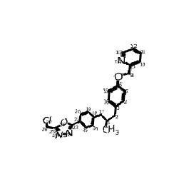 CC(Cc1ccc(OCc2ccccn2)cc1)Cc1ccc(-c2nnc(CCl)o2)cc1